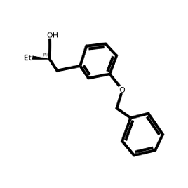 CC[C@@H](O)Cc1cccc(OCc2ccccc2)c1